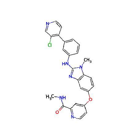 CNC(=O)c1cc(Oc2ccc3c(c2)nc(Nc2cccc(-c4ccncc4Cl)c2)n3C)ccn1